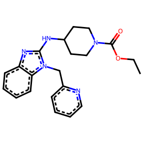 CCOC(=O)N1CCC(Nc2nc3ccccc3n2Cc2ccccn2)CC1